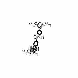 CC1CN(c2ccc(NC(=O)c3ccc(NS(=O)(=O)C(C)(C)C)cc3)cc2)C[C@@H](C)O1